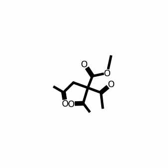 COC(=O)C(CC(C)=O)(C(C)=O)C(C)=O